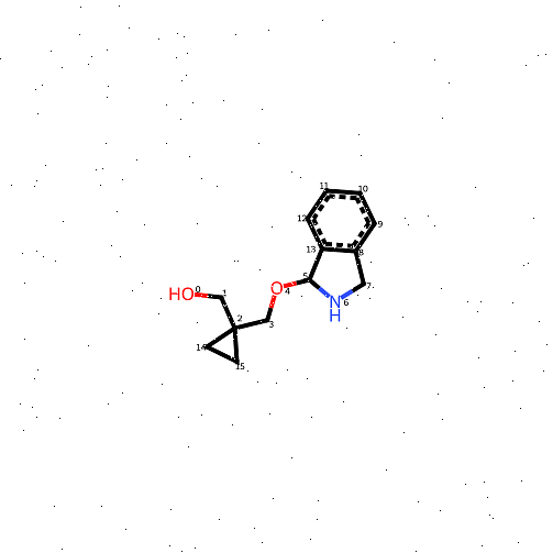 OCC1(COC2NCc3ccccc32)CC1